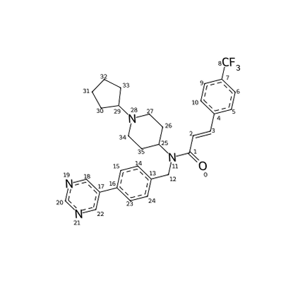 O=C(C=Cc1ccc(C(F)(F)F)cc1)N(Cc1ccc(-c2cncnc2)cc1)C1CCN(C2CCCC2)CC1